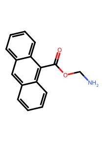 NCOC(=O)c1c2ccccc2cc2ccccc12